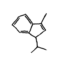 [CH2]C(C)C1C=C(C)c2ccccc21